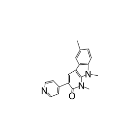 Cc1ccc2c(c1)c1cc(-c3ccncc3)c(=O)n(C)c1n2C